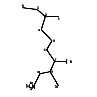 CCC(C)CCCC(I)C(C)CN